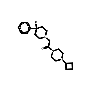 O=C(CN1CCC(F)(c2ccccc2)CC1)N1CCN(C2CCC2)CC1